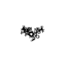 CCn1c(=O)n(-c2nnc(C(F)F)o2)c2cc(S(=O)(=O)NC3(CF)CC3)c(F)cc21